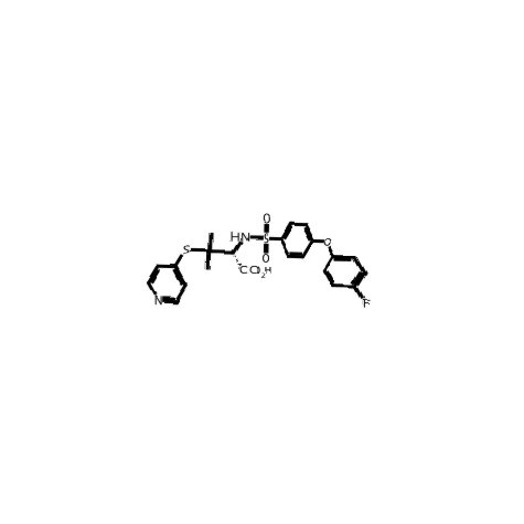 CC(C)(Sc1ccncc1)[C@H](NS(=O)(=O)c1ccc(Oc2ccc(F)cc2)cc1)C(=O)O